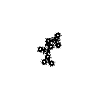 c1ccc(-c2nc(-c3ccc4c(c3)c3ccccc3n4-c3ccccc3)nc(-c3cccc4c3oc3cccc(-c5nc(-c6ccccc6)c6oc7ccccc7c6n5)c34)n2)cc1